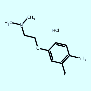 CN(C)CCOc1ccc(N)c(F)c1.Cl